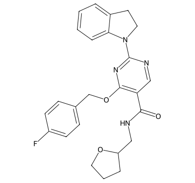 O=C(NCC1CCCO1)c1cnc(N2CCc3ccccc32)nc1OCc1ccc(F)cc1